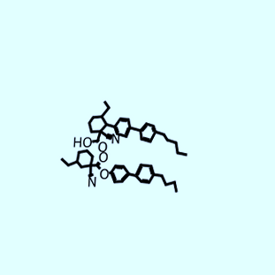 CCCCCc1ccc(-c2ccc(C3C(CC)CCCC3(C#N)C(=O)O)cc2)cc1.CCCCc1ccc(-c2ccc(OC(=O)C3(C#N)CCCC(CC)C3)cc2)cc1